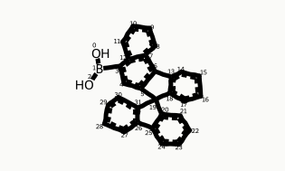 OB(O)c1cc2c(c3ccccc13)-c1ccccc1C21c2ccccc2-c2ccccc21